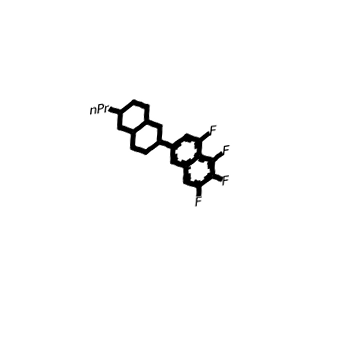 CCCC1CCC2CC(c3cc(F)c4c(F)c(F)c(F)cc4c3)CCC2C1